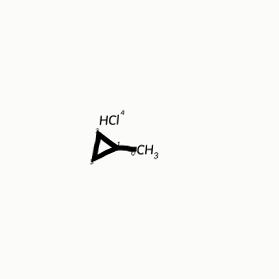 CC1CC1.Cl